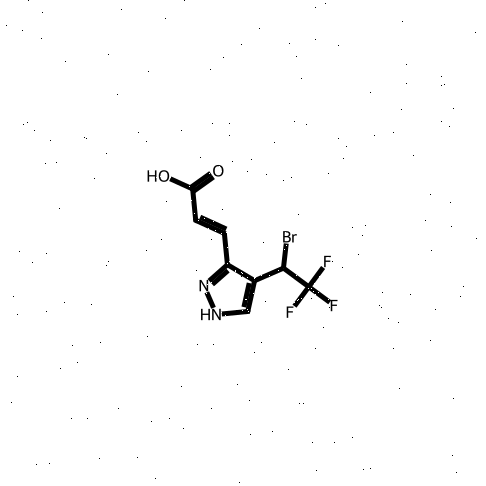 O=C(O)/C=C/c1n[nH]cc1C(Br)C(F)(F)F